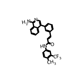 Cc1ccc(NC(=O)C=Cc2cccc(-c3cnc(N)c4ccccc34)c2)cc1C(F)(F)F